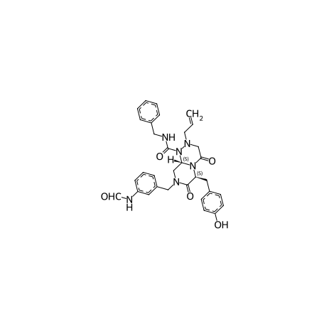 C=CCN1CC(=O)N2[C@@H](Cc3ccc(O)cc3)C(=O)N(Cc3cccc(NC=O)c3)C[C@@H]2N1C(=O)NCc1ccccc1